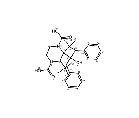 CC(C)(C)C1N(C(=O)O)CCN(C(=O)O)C1(C(C)(C)C)C(O)(Cc1ccccc1)Cc1ccccc1